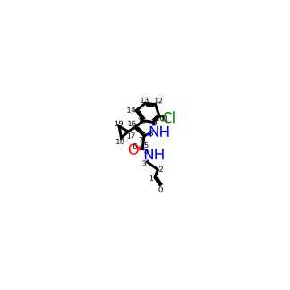 C=CCCNC(=O)c1[nH]c2c(Cl)cccc2c1C1CC1